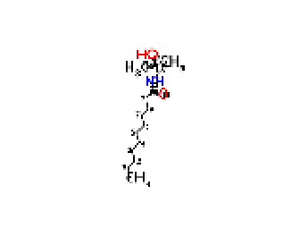 CCCCCCCCCCC(=O)NCC(C)(C)O